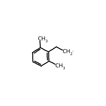 [CH2]Cc1c(C)cccc1C